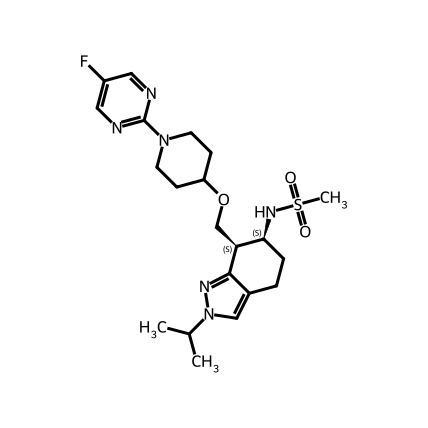 CC(C)n1cc2c(n1)[C@@H](COC1CCN(c3ncc(F)cn3)CC1)[C@@H](NS(C)(=O)=O)CC2